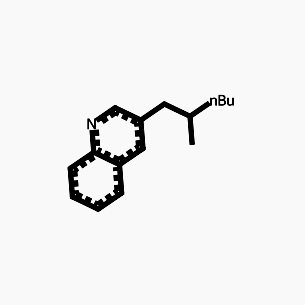 CCCCC(C)Cc1cnc2ccccc2c1